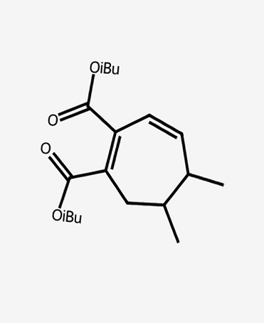 CC(C)COC(=O)C1=C(C(=O)OCC(C)C)CC(C)C(C)C=C1